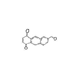 O=Cc1ccc2cc3c(cc2c1)C(=O)C=CC3=O